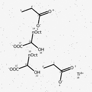 CCC(=O)[O-].CCC(=O)[O-].CCCCCCCCC(O)C(=O)[O-].CCCCCCCCC(O)C(=O)[O-].[Ti+4]